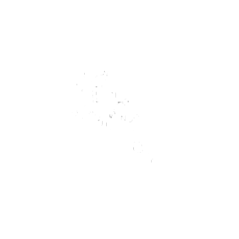 COc1cccc(COC(=O)N2C[C@@H]3C[C@@H](N[C@H]4CCOC[C@H]4OC)C[C@]3(C(=O)N3CCc4ncc(C(F)(F)F)cc4C3)C2)c1